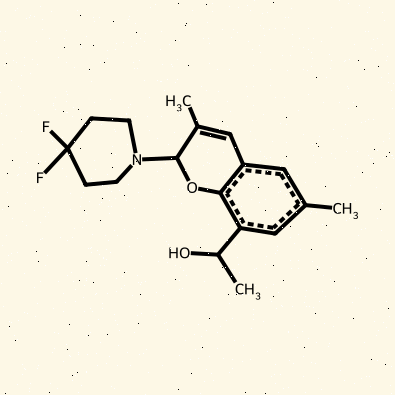 CC1=Cc2cc(C)cc(C(C)O)c2OC1N1CCC(F)(F)CC1